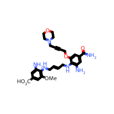 COc1cc(C(=O)O)cc(N)c1NCC=CCNc1c(N)cc(C(N)=O)cc1OCC#CCN1CCOCC1